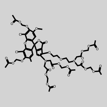 COc1cc2c(c(Cl)c1OCOC(C)=O)Oc1c(cc(C)c(OCOC(C)=O)c1Cl)C21OC(=O)c2c1ccc(N(CC(=O)OCOC(C)=O)CC(=O)OCOC(C)=O)c2OCCOCCN(CC(=O)OCOC(C)=O)CC(=O)OCOC(C)=O